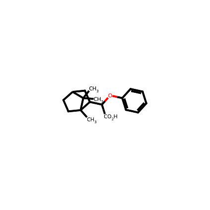 CC1(C)C2CCC1(C)C(C(Oc1ccccc1)C(=O)O)C2